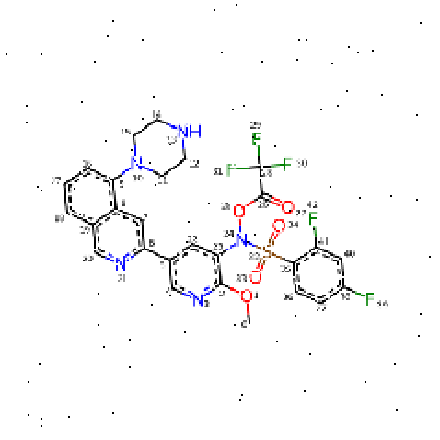 COc1ncc(-c2cc3c(N4CCNCC4)cccc3cn2)cc1N(OC(=O)C(F)(F)F)S(=O)(=O)c1ccc(F)cc1F